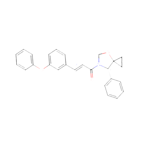 O=C(/C=C/c1cccc(Oc2ccccc2)c1)N1COC2(CC2)[C@@H]1c1ccccc1